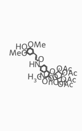 CCCCCCCCOc1c(O[C@H]2O[C@H](COC(C)=O)[C@@H](OC(C)=O)[C@H](OC(C)=O)[C@@H]2OC(C)=O)c2ccc(NC(=O)/C=C/c3cc(OC)c(O)c(OC)c3)cc2n(C)c1=O